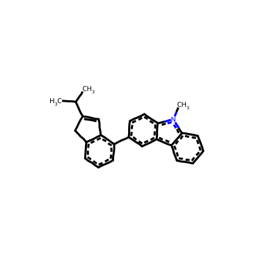 CC(C)C1=Cc2c(cccc2-c2ccc3c(c2)c2ccccc2n3C)C1